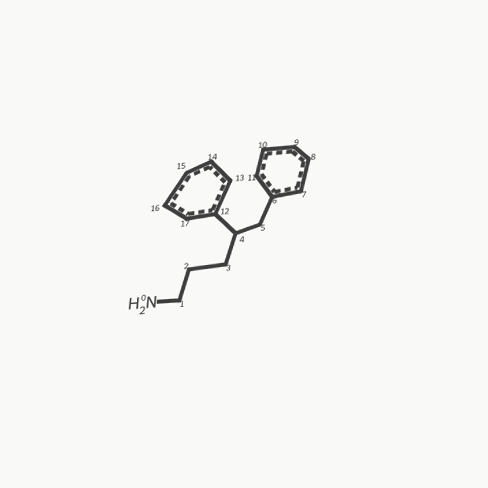 NCCCC(Cc1ccccc1)c1ccccc1